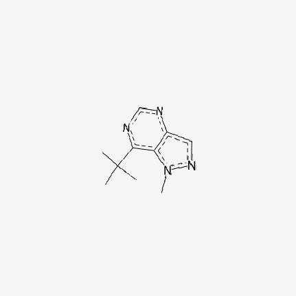 Cn1ncc2ncnc(C(C)(C)C)c21